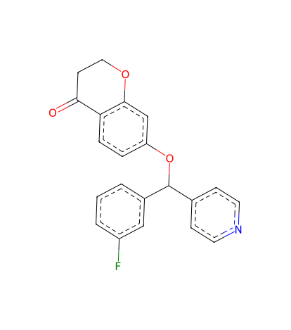 O=C1CCOc2cc(OC(c3ccncc3)c3cccc(F)c3)ccc21